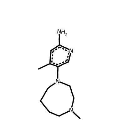 Cc1cc(N)ncc1N1CCCCN(C)CC1